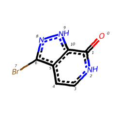 O=c1[nH]ccc2c(Br)n[nH]c12